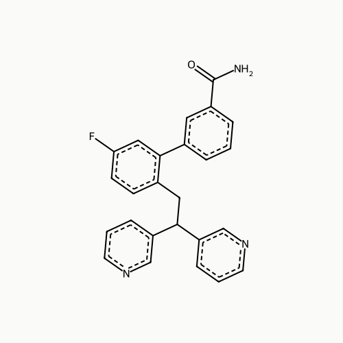 NC(=O)c1cccc(-c2cc(F)ccc2CC(c2cccnc2)c2cccnc2)c1